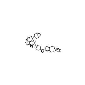 CCN1CCc2ccc(OC3CCN(c4nc5c(c(NC6CCOCC6)n4)SCC5)CC3)cc2CC1